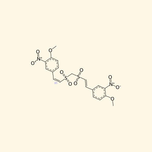 COc1ccc(C=CS(=O)(=O)CS(=O)(=O)/C=C\c2ccc(OC)c([N+](=O)[O-])c2)cc1[N+](=O)[O-]